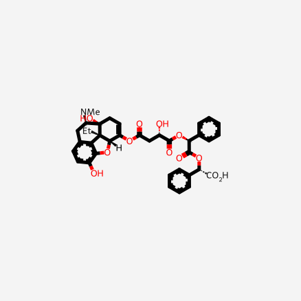 CC[C@]12c3c4ccc(O)c3O[C@H]1C(OC(=O)C[C@H](O)C(=O)O[C@H](C(=O)O[C@H](C(=O)O)c1ccccc1)c1ccccc1)=CC[C@@]2(O)[C@H](NC)C4